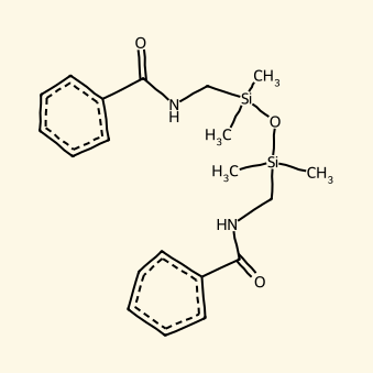 C[Si](C)(CNC(=O)c1ccccc1)O[Si](C)(C)CNC(=O)c1ccccc1